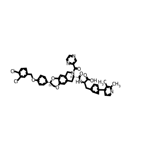 Cc1nccc(-c2ccc(CC(NC(=O)[C@@H]3Cc4cc5c(cc4CN3C(=O)c3cnccn3)O[C@@H](c3ccc(OCc4ccc(Cl)c(Cl)c4)cc3)CO5)C(=O)O)cc2)c1C